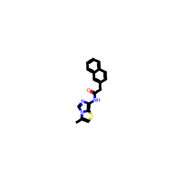 Cc1csc2c(NC(=O)Cc3ccc4ccccc4c3)ncn12